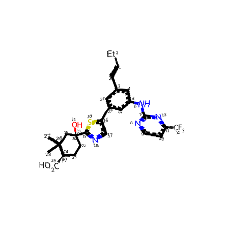 CCC=Cc1cc(Nc2nccc(C(F)(F)F)n2)cc(-c2cnc([C@]3(O)CC[C@@H](C(=O)O)C(C)(C)C3)s2)c1